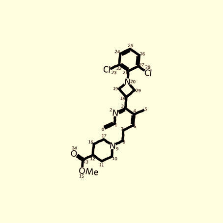 C=C/N=C(\C(C)=C/CCN1CCC(C(=O)OC)CC1)C1CN(c2c(Cl)cccc2Cl)C1